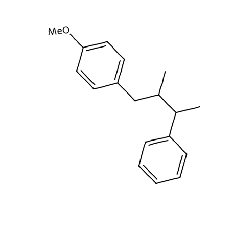 COc1ccc(CC(C)C(C)c2ccccc2)cc1